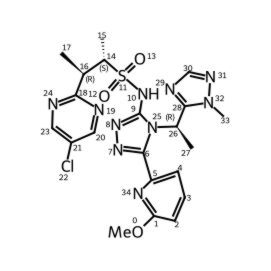 COc1cccc(-c2nnc(NS(=O)(=O)[C@@H](C)[C@H](C)c3ncc(Cl)cn3)n2[C@H](C)c2ncnn2C)n1